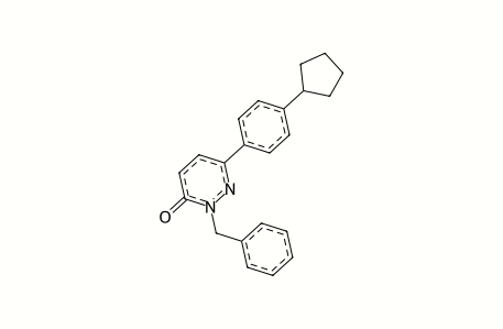 O=c1ccc(-c2ccc(C3CCCC3)cc2)nn1Cc1ccccc1